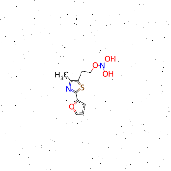 Cc1nc(-c2ccco2)sc1CCON(O)O